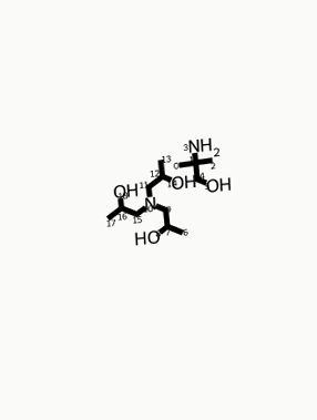 CC(C)(N)CO.CC(O)CN(CC(C)O)CC(C)O